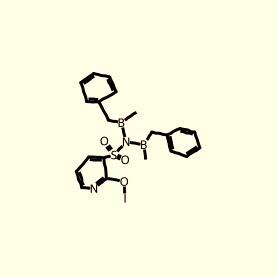 CB(Cc1ccccc1)N(B(C)Cc1ccccc1)S(=O)(=O)c1cccnc1OI